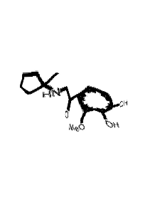 COc1c(C(=O)CNC2(C)CCCC2)ccc(O)c1O